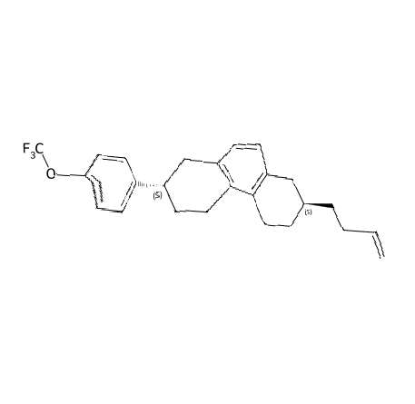 C=CCC[C@H]1CCc2c(ccc3c2CC[C@H](c2ccc(OC(F)(F)F)cc2)C3)C1